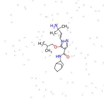 CC(C)COc1c(C(=O)NC2CC3CCC2C3)cnn1/C=C/C(C)(C)N